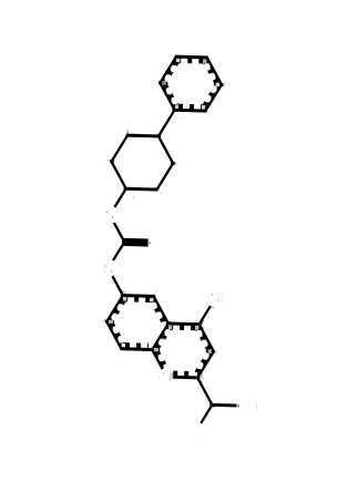 CC(C)c1cc(N)c2cc(NC(=O)NC3CCC(c4ccccc4)CC3)ccc2n1